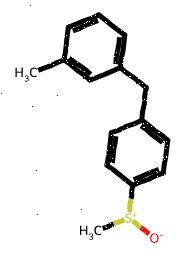 Cc1cccc(Cc2ccc([S+](C)[O-])cc2)c1